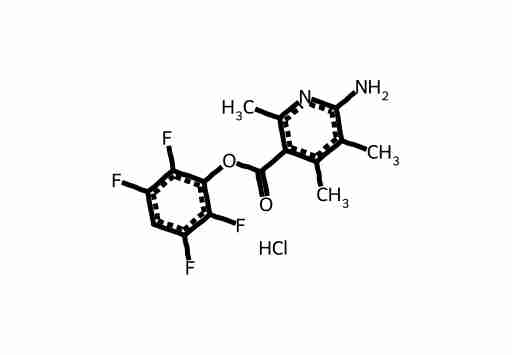 Cc1nc(N)c(C)c(C)c1C(=O)Oc1c(F)c(F)cc(F)c1F.Cl